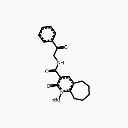 CCCCn1c2c(cc(C(=O)NCC(=O)c3ccccc3)c1=O)CCCCC2